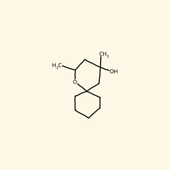 CC1CC(C)(O)CC2(CCCCC2)O1